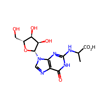 CC(Nc1nc2c(ncn2[C@@H]2O[C@H](CO)[C@@H](O)[C@H]2O)c(=O)[nH]1)C(=O)O